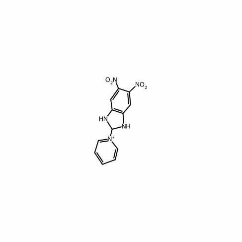 O=[N+]([O-])c1cc2c(cc1[N+](=O)[O-])NC([n+]1ccccc1)N2